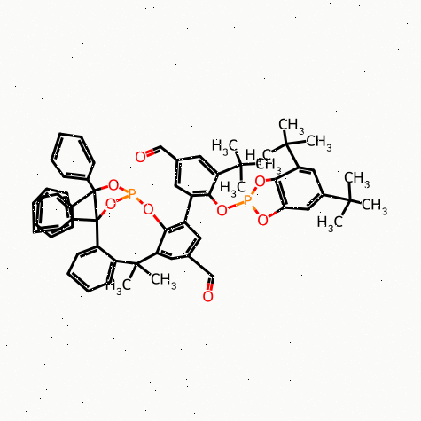 CC(C)(C)c1cc2c(c(C(C)(C)C)c1)OP(Oc1c(-c3cc(C=O)cc4c3OP3OC(c5ccccc5)(c5ccccc5)C(c5ccccc5)(O3)c3ccccc3C4(C)C)cc(C=O)cc1C(C)(C)C)O2